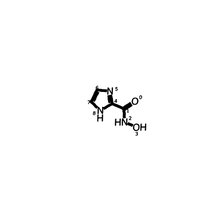 O=C(NO)c1ncc[nH]1